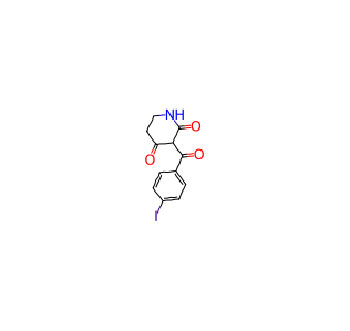 O=C1CCNC(=O)C1C(=O)c1ccc(I)cc1